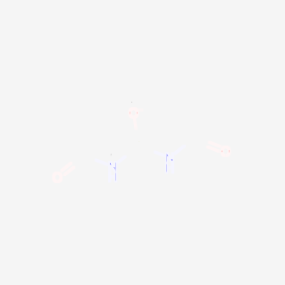 O=CN[S+]([O-])NC=O